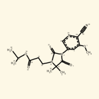 COc1cc(N2C(=O)C(C)(C)N(CCC(=O)OC(C)C)C2=S)cnc1C#N